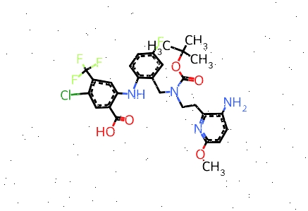 COc1ccc(N)c(CCN(Cc2cc(F)ccc2Nc2cc(C(F)(F)F)c(Cl)cc2C(=O)O)C(=O)OC(C)(C)C)n1